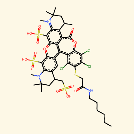 CCCCCCNC(=O)CSc1c(Cl)c(Cl)c2oc(=O)c3c4c(c(S(=O)(=O)O)c5oc6c(S(=O)(=O)O)c7c(cc6c(c2c1Cl)=c53)C(CS(=O)(=O)O)CC(C)(C)N7C)=[N+](C)C(C)(C)CC4C